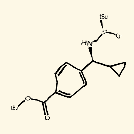 CC(C)(C)OC(=O)c1ccc([C@@H](N[S@+]([O-])C(C)(C)C)C2CC2)cc1